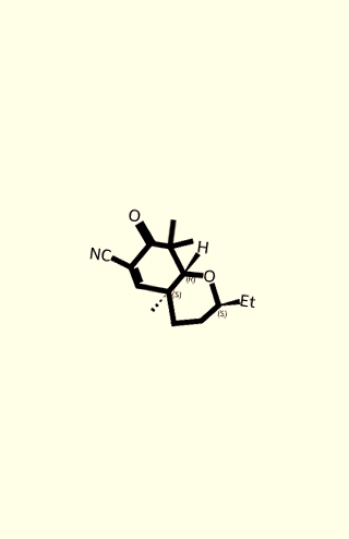 CC[C@H]1CC[C@@]2(C)C=C(C#N)C(=O)C(C)(C)[C@@H]2O1